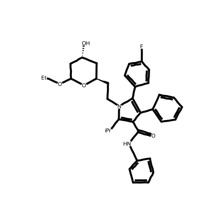 CCOC1C[C@H](O)C[C@@H](CCn2c(-c3ccc(F)cc3)c(-c3ccccc3)c(C(=O)Nc3ccccc3)c2C(C)C)O1